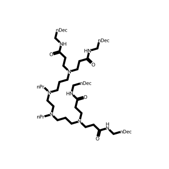 CCCCCCCCCCCNC(=O)CCN(CCCN(CCC)CCN(CCC)CCCN(CCC(=O)NCCCCCCCCCCC)CCC(=O)NCCCCCCCCCCC)CCC(=O)NCCCCCCCCCCC